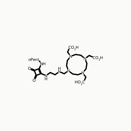 CCCCCNc1c(NCCNCN2CCN(CC(=O)O)CCN(CC(=O)O)CCN(CC(=O)O)CC2)c(=O)c1=O